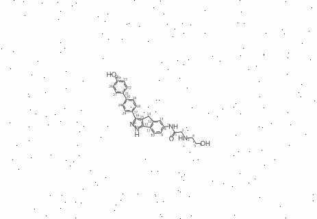 O=C(CNCCO)Nc1ccc2c(c1)Cc1c(-c3ccc(-c4ccc(O)cc4)cc3)n[nH]c1-2